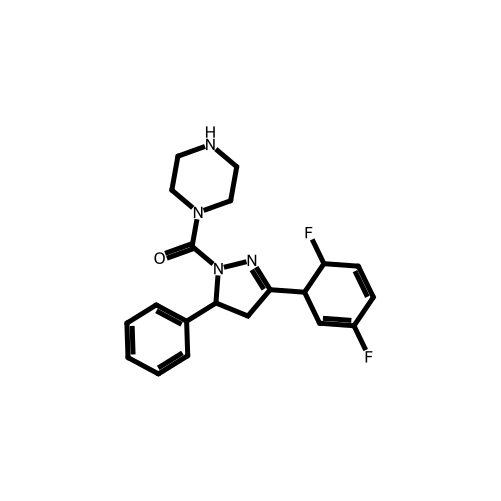 O=C(N1CCNCC1)N1N=C(C2C=C(F)C=CC2F)CC1c1ccccc1